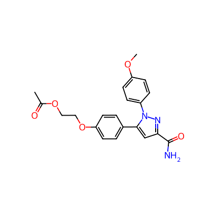 COc1ccc(-n2nc(C(N)=O)cc2-c2ccc(OCCOC(C)=O)cc2)cc1